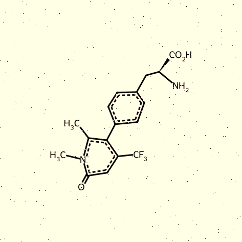 Cc1c(-c2ccc(C[C@H](N)C(=O)O)cc2)c(C(F)(F)F)cc(=O)n1C